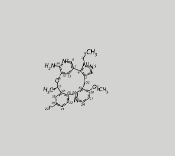 CCn1ncc2c1-c1cnc(N)c(c1)O[C@H](C)c1cc(F)ccc1-c1nccc(OC)c1C2